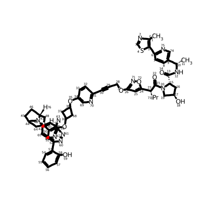 Cc1ncsc1-c1ccc([C@H](C)NC(=O)[C@@H]2C[C@@H](O)CN2C(=O)[C@@H](c2cc(OCC#Cc3ccc(OC4CC(Oc5cc(N6C7CC[C@@H]6CN(c6cc(-c8ccccc8O)nnc6N)C7)ccn5)C4)cn3)no2)C(C)C)cn1